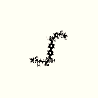 CC(C)(C)OC(=O)NCCC[C@@]1(c2nc(-c3ccc(-c4ccc(-c5c[nH]c(C6CCN(C(=O)OC(C)(C)C)C6)n5)cc4)cc3)c[nH]2)CS1